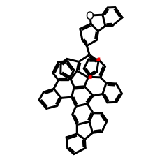 c1ccc(-c2ccccc2-c2c3cc4c5ccccc5c5cccc(c3c(-c3ccccc3-c3ccccc3)c3c6ccc(-c7ccc8oc9ccccc9c8c7)c7cccc(c23)c76)c54)cc1